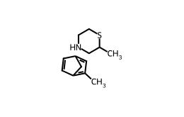 CC1=C2C=CC(=C1)C2.CC1CNCCS1